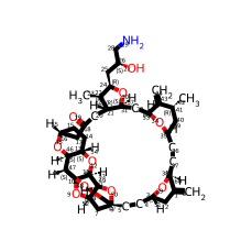 C=C1C[C@@H]2CC[C@@]34C[C@H]5OC6[C@@H](O[C@H]7CC[C@H](CC(=O)C[C@@H]8[C@@H](C)[C@@H](C[C@H](O)CN)O[C@H]8C[C@H]8O[C@@H](CC[C@@H]1O2)C[C@@H](C)C8=C)O[C@@H]7[C@@H]6O3)[C@H]5O4